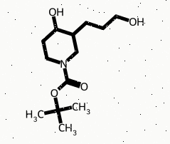 CC(C)(C)OC(=O)N1CCC(O)C(CCCO)C1